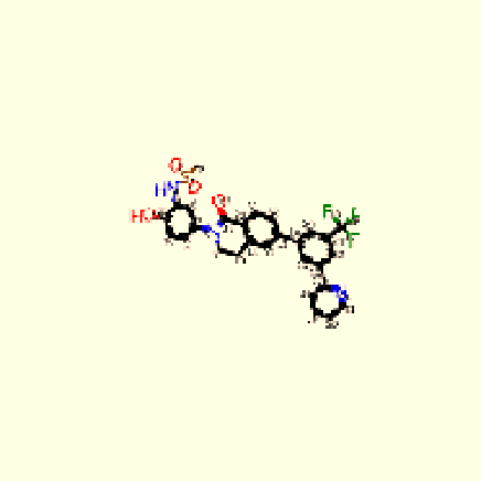 CS(=O)(=O)Nc1cc(N2CCc3cc(-c4cc(-c5ccccn5)cc(C(F)(F)F)c4)ccc3C2=O)ccc1O